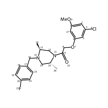 COc1cc(Cl)cc(OCC(=O)N2C[C@H](C)N(Cc3ccc(F)cc3)C[C@H]2C)c1